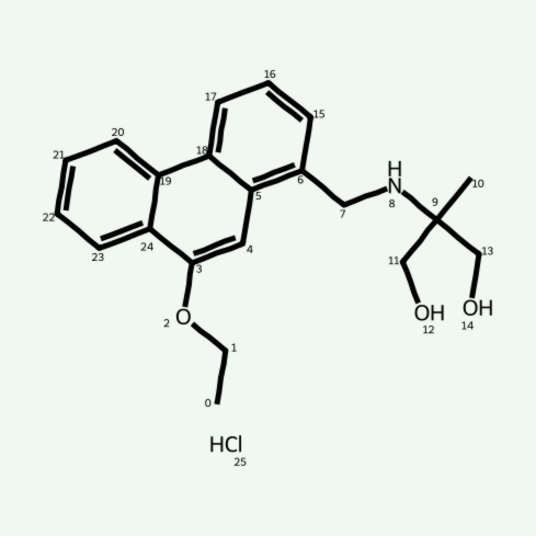 CCOc1cc2c(CNC(C)(CO)CO)cccc2c2ccccc12.Cl